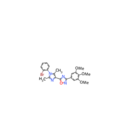 COc1cc(-c2noc(-c3nc(C)n(-c4ccccc4Br)c3C)n2)cc(OC)c1OC